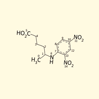 CC(CCCC(=O)O)Nc1ccc([N+](=O)[O-])cc1[N+](=O)[O-]